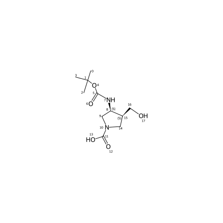 CC(C)(C)OC(=O)N[C@@H]1CN(C(=O)O)C[C@@H]1CO